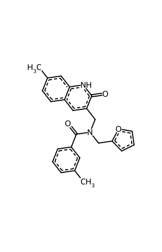 Cc1cccc(C(=O)N(Cc2ccco2)Cc2cc3ccc(C)cc3[nH]c2=O)c1